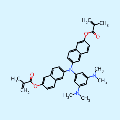 C=C(C)C(=O)Oc1ccc2cc(N(c3cc(N(C)C)cc(N(C)C)c3)c3ccc4cc(OC(=O)C(=C)C)ccc4c3)ccc2c1